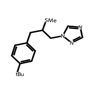 CSC(Cc1ccc(C(C)(C)C)cc1)Cn1cncn1